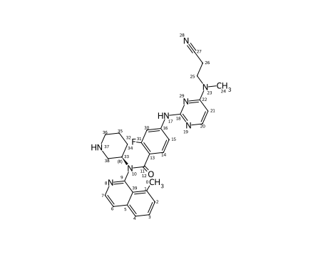 Cc1cccc2ccnc(N(C(=O)c3ccc(Nc4nccc(N(C)CCC#N)n4)cc3F)[C@@H]3CCCNC3)c12